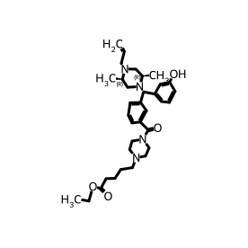 C=CCN1C[C@@H](C)N(C(c2cccc(O)c2)c2cccc(C(=O)N3CCN(CCCCC(=O)OCC)CC3)c2)C[C@H]1C